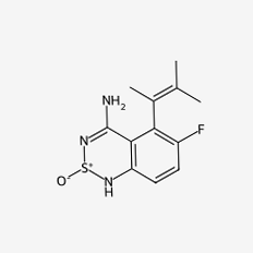 CC(C)=C(C)c1c(F)ccc2c1C(N)=N[S+]([O-])N2